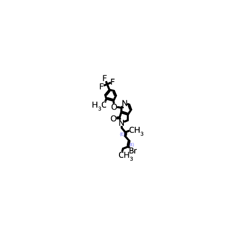 CC/C(Br)=C\C=C(/C)CN1Cc2ccnc(Oc3ccc(C(F)(F)F)cc3C)c2C1=O